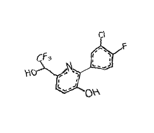 Oc1ccc(C(O)C(F)(F)F)nc1-c1ccc(F)c(Cl)c1